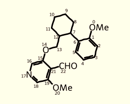 COc1ccccc1C1CCCCC1COc1cncc(OC)c1C=O